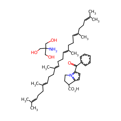 CC(C)=CCC/C(C)=C/CC/C(C)=C/CC/C=C(\C)CC/C=C(\C)CCC=C(C)C.NC(CO)(CO)CO.O=C(c1ccccc1)c1ccc2n1CCC2C(=O)O